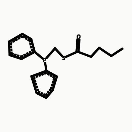 CCCCC(=O)SCP(c1ccccc1)c1ccccc1